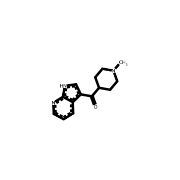 CN1CCC(C(=O)c2c[nH]c3ncccc23)CC1